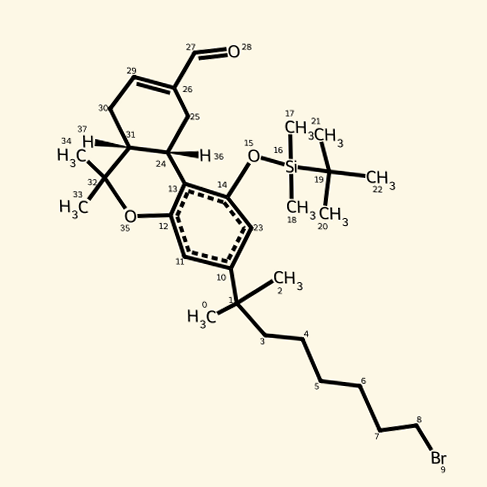 CC(C)(CCCCCCBr)c1cc2c(c(O[Si](C)(C)C(C)(C)C)c1)[C@H]1CC(C=O)=CC[C@H]1C(C)(C)O2